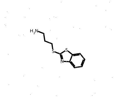 NCCCSc1nc2ccccc2s1